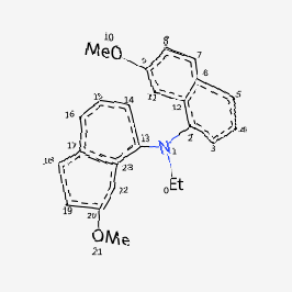 CCN(c1cccc2ccc(OC)cc12)c1cccc2ccc(OC)cc12